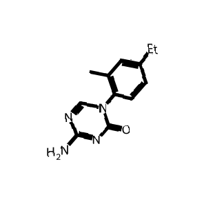 CCc1ccc(-n2cnc(N)nc2=O)c(C)c1